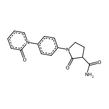 NC(=O)C1CCN(c2ccc(-n3ccccc3=O)cc2)C1=O